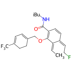 C/C=c1/c(OCC2=CC=C(C(F)(F)F)CC2)c(C(=O)NC(C)CC)cc/c1=C/CF